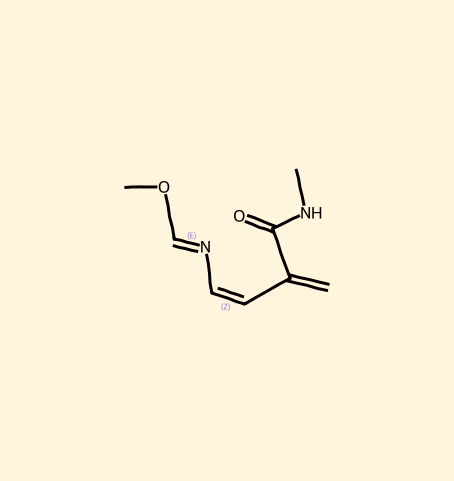 C=C(/C=C\N=C\OC)C(=O)NC